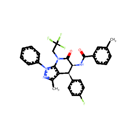 Cc1cccc(C(=O)N[C@@H]2C(=O)N(CC(F)(F)F)c3c(c(C)nn3-c3ccccc3)[C@@H]2c2ccc(F)cc2)c1